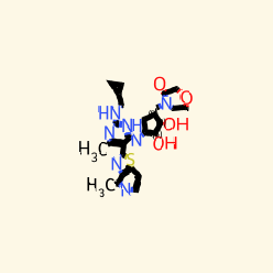 Cc1nc(NCC2CC2)nc(NC2C[C@H](CN3CCOCC3=O)[C@@H](O)[C@H]2O)c1-c1nc2c(C)nccc2s1